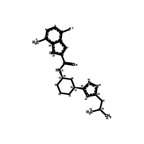 Cc1ccc(F)c2cc(C(=O)N[C@@H]3CCC[C@H](c4noc(CN(C)C)n4)C3)[nH]c12